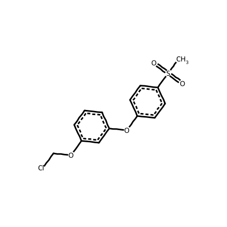 CS(=O)(=O)c1ccc(Oc2cccc(OCCl)c2)cc1